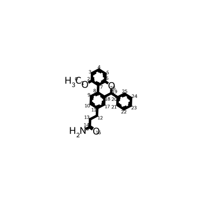 COc1cccc2c1-c1ccc(CCC(N)=O)cc1C(c1ccccc1)O2